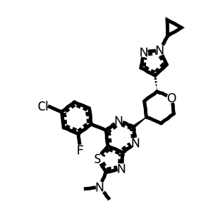 CN(C)c1nc2nc([C@@H]3CCO[C@@H](c4cnn(C5CC5)c4)C3)nc(-c3ccc(Cl)cc3F)c2s1